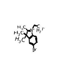 CC[N+]1=C(C)C(C)(C)c2cc(Br)ccc21.[I-]